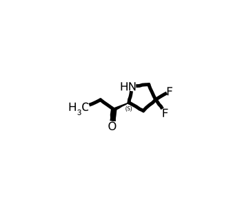 CCC(=O)[C@@H]1CC(F)(F)CN1